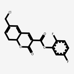 O=C(Oc1cc(F)ccc1F)C1=CC2=CC(CCl)=CCC2OC1=O